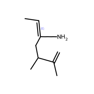 C=C(C)C(C)C/C(N)=C\C